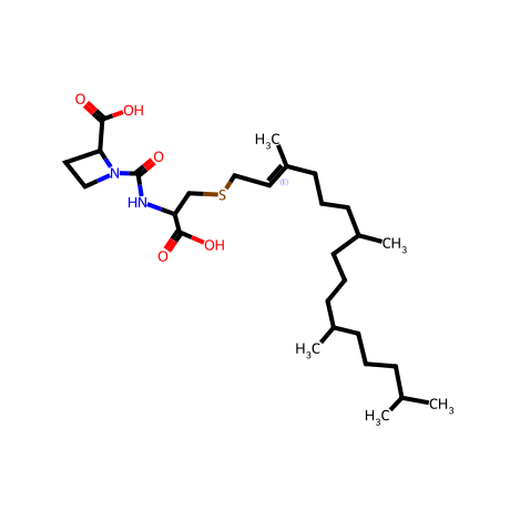 C/C(=C\CSCC(NC(=O)N1CCC1C(=O)O)C(=O)O)CCCC(C)CCCC(C)CCCC(C)C